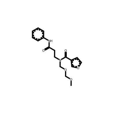 COCOCN(CCC(=O)Nc1ccccc1)C(=O)c1ccoc1